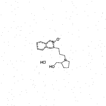 Cl.[O-][n+]1cc2ccccc2cc1CCCN1CCCC1CO